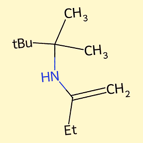 C=C(CC)NC(C)(C)C(C)(C)C